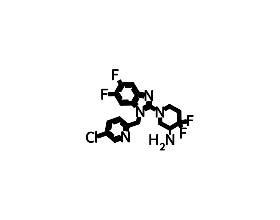 N[C@@H]1CN(c2nc3cc(F)c(F)cc3n2Cc2ccc(Cl)cn2)CCC1(F)F